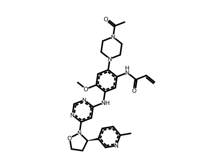 C=CC(=O)Nc1cc(Nc2cc(N3OCC[C@@H]3c3ccc(C)nc3)ncn2)c(OC)cc1N1CCN(C(C)=O)CC1